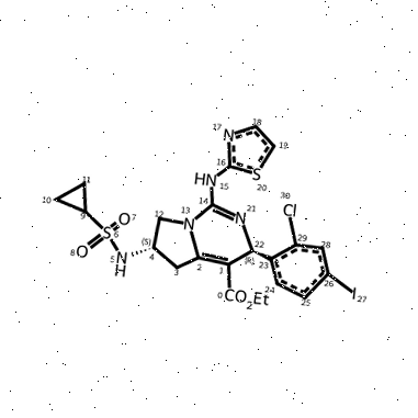 CCOC(=O)C1=C2C[C@H](NS(=O)(=O)C3CC3)CN2C(Nc2nccs2)=N[C@H]1c1ccc(I)cc1Cl